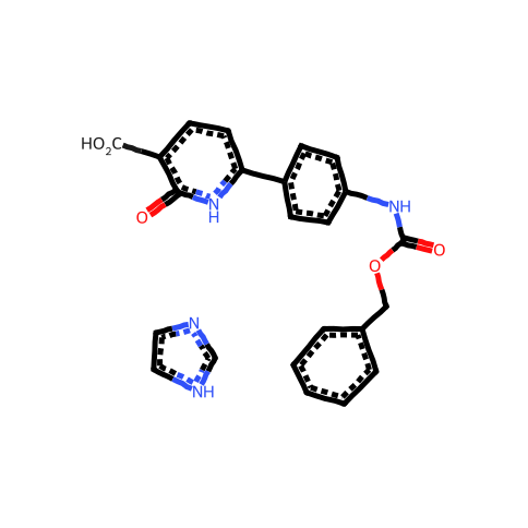 O=C(Nc1ccc(-c2ccc(C(=O)O)c(=O)[nH]2)cc1)OCc1ccccc1.c1c[nH]cn1